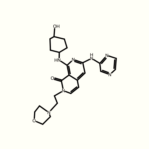 O=c1c2c(NC3CCC(O)CC3)nc(Nc3cnccn3)cc2ccn1CCN1CCOCC1